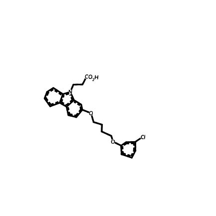 O=C(O)CCn1c2ccccc2c2ccc(OCCCCOc3cccc(Cl)c3)cc21